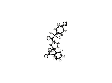 CC(C)(C(=O)N1CC[C@@]2(C1)OC(=O)c1ncccc12)c1ccc(Cl)cc1